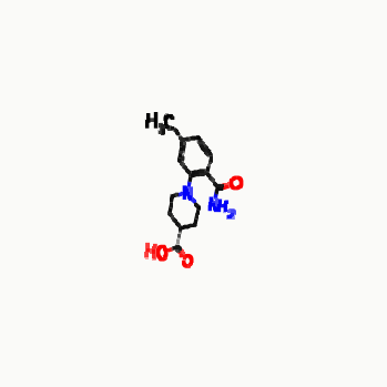 Cc1ccc(C(N)=O)c(N2CCC(C(=O)O)CC2)c1